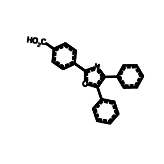 O=C(O)c1ccc(-c2nc(-c3ccccc3)c(-c3ccccc3)o2)cc1